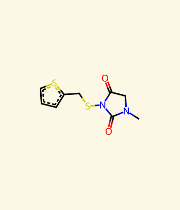 CN1CC(=O)N(SCc2cccs2)C1=O